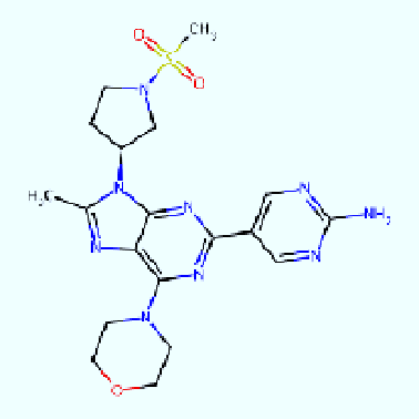 Cc1nc2c(N3CCOCC3)nc(-c3cnc(N)nc3)nc2n1[C@H]1CCN(S(C)(=O)=O)C1